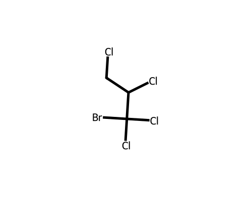 ClCC(Cl)C(Cl)(Cl)Br